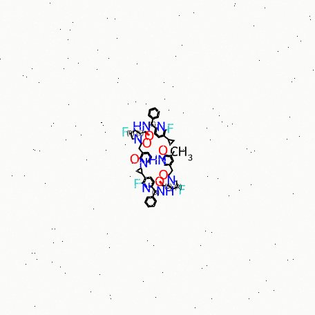 Cc1cc(CC(=O)N2C[C@H](F)C[C@H]2C(=O)N[C@@H](c2ccccc2)c2ccc(C3CC3n3cccc(CC(=O)N4C[C@H](F)C[C@H]4C(=O)N[C@@H](c4ccccc4)c4ccc(C5CC5)c(F)n4)c3=O)c(F)n2)c[nH]c1=O